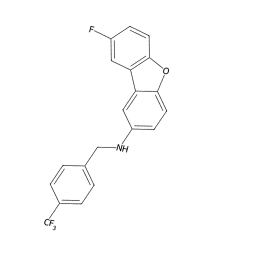 Fc1ccc2oc3ccc(NCc4ccc(C(F)(F)F)cc4)cc3c2c1